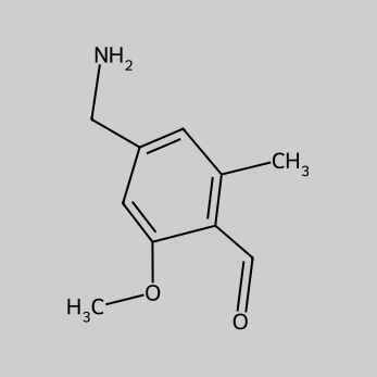 COc1cc(CN)cc(C)c1C=O